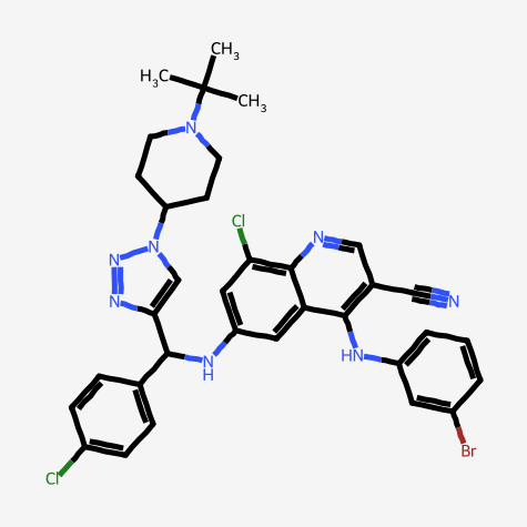 CC(C)(C)N1CCC(n2cc(C(Nc3cc(Cl)c4ncc(C#N)c(Nc5cccc(Br)c5)c4c3)c3ccc(Cl)cc3)nn2)CC1